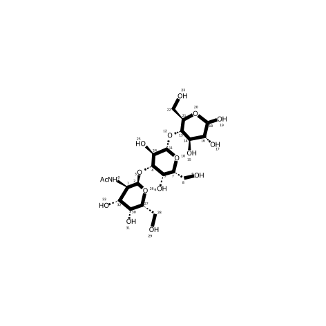 CC(=O)N[C@H]1[C@@H](O[C@H]2[C@@H](O)[C@@H](CO)O[C@@H](O[C@H]3[C@H](O)[C@@H](O)C(O)O[C@@H]3CO)[C@@H]2O)O[C@H](CO)[C@H](O)[C@@H]1O